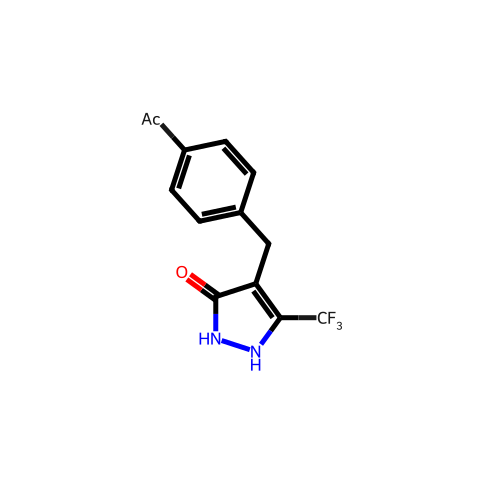 CC(=O)c1ccc(Cc2c(C(F)(F)F)[nH][nH]c2=O)cc1